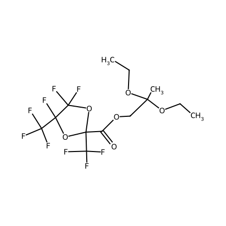 CCOC(C)(COC(=O)C1(C(F)(F)F)OC(F)(F)C(F)(C(F)(F)F)O1)OCC